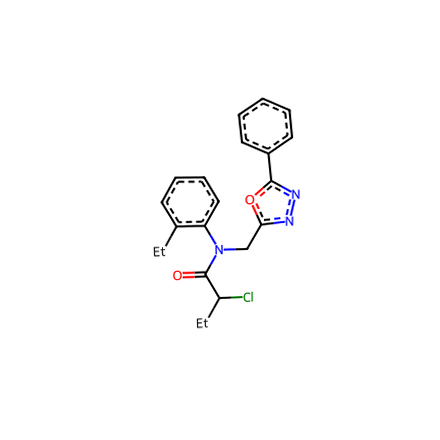 CCc1ccccc1N(Cc1nnc(-c2ccccc2)o1)C(=O)C(Cl)CC